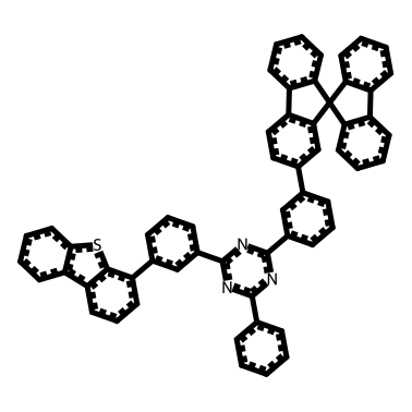 c1ccc(-c2nc(-c3cccc(-c4ccc5c(c4)C4(c6ccccc6-c6ccccc64)c4ccccc4-5)c3)nc(-c3cccc(-c4cccc5c4sc4ccccc45)c3)n2)cc1